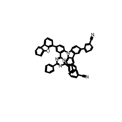 N#Cc1cccc(-c2ccc3c(c2)c2cc(-c4cccc(C#N)c4)ccc2n3-c2ccc(-c3cccc4c3oc3ccccc34)cc2-c2nc(-c3ccccc3)nc(-c3ccccc3)n2)c1